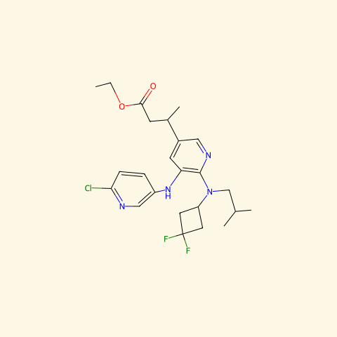 CCOC(=O)CC(C)c1cnc(N(CC(C)C)C2CC(F)(F)C2)c(Nc2ccc(Cl)nc2)c1